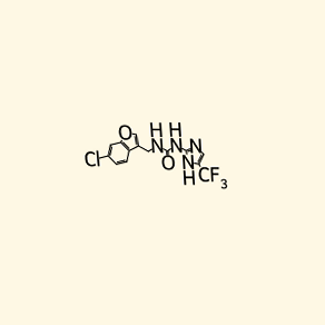 O=C(NCc1coc2cc(Cl)ccc12)Nc1ncc(C(F)(F)F)[nH]1